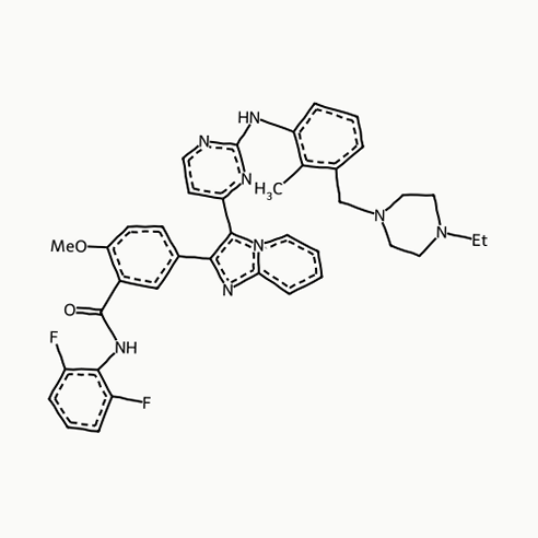 CCN1CCN(Cc2cccc(Nc3nccc(-c4c(-c5ccc(OC)c(C(=O)Nc6c(F)cccc6F)c5)nc5ccccn45)n3)c2C)CC1